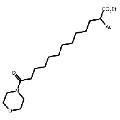 CCOC(=O)C(CCCCCCCCCCC(=O)N1CCOCC1)C(C)=O